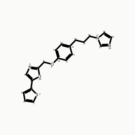 c1csc(-c2cnc(COc3ccc(CCCn4ccnc4)cc3)o2)c1